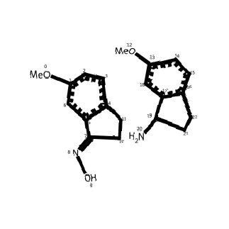 COc1ccc2c(c1)C(=NO)CC2.COc1ccc2c(c1)C(N)CC2